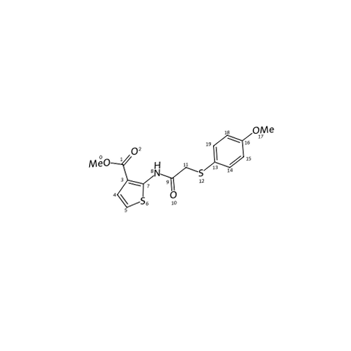 COC(=O)c1ccsc1NC(=O)CSc1ccc(OC)cc1